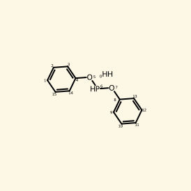 [HH].c1ccc(OPOc2ccccc2)cc1